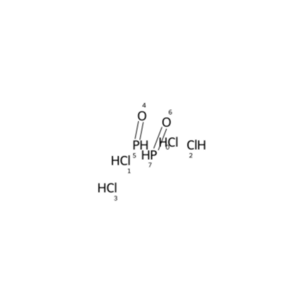 Cl.Cl.Cl.Cl.O=P.O=P